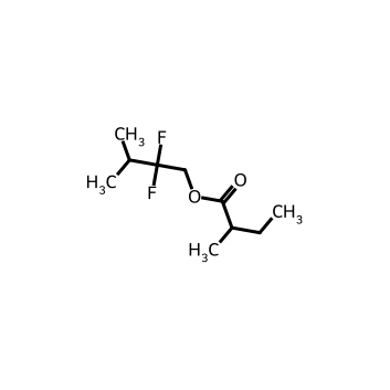 CCC(C)C(=O)OCC(F)(F)C(C)C